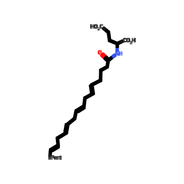 CCCCCC=CCC=CCC=CCC=CCCCC(=O)NC(CCC(=O)O)C(=O)O